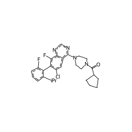 CC(C)c1cccc(F)c1-c1c(Cl)cc2c(N3CCN(C(=O)C4CCCC4)CC3)ncnc2c1F